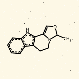 CC1OC=C2c3[nH]c4ccccc4c3CCN21